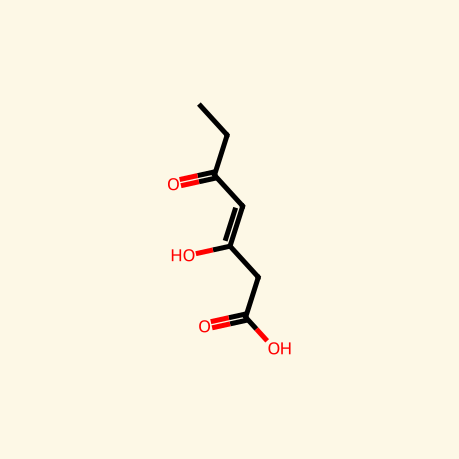 CCC(=O)C=C(O)CC(=O)O